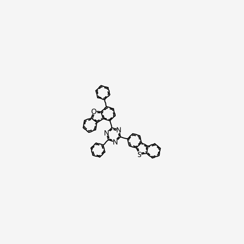 c1ccc(-c2nc(-c3ccc4c(c3)sc3ccccc34)nc(-c3ccc(-c4ccccc4)c4oc5ccccc5c34)n2)cc1